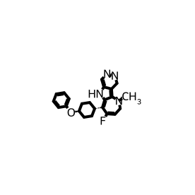 CN1CC=C(F)C([C@H]2CC[C@H](Oc3ccccc3)CC2)=c2[nH]c3c(c21)CN=NC=3